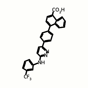 O=C(O)c1ccc(-c2ccc(-c3ccc(Nc4cccc(C(F)(F)F)c4)nn3)cc2)c2ccccc12